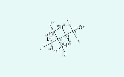 [O]C(I)(I)C(I)(I)C(C(I)(I)I)(C(I)(I)I)C(I)(I)I